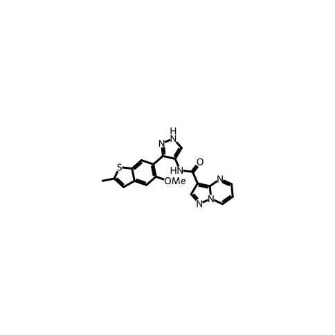 COc1cc2cc(C)sc2cc1-c1n[nH]cc1NC(=O)c1cnn2cccnc12